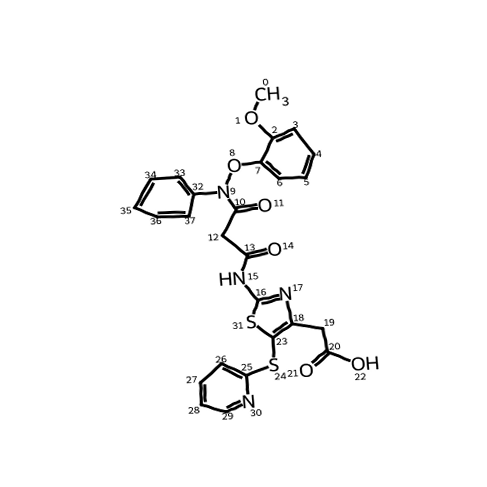 COc1ccccc1ON(C(=O)CC(=O)Nc1nc(CC(=O)O)c(Sc2ccccn2)s1)c1ccccc1